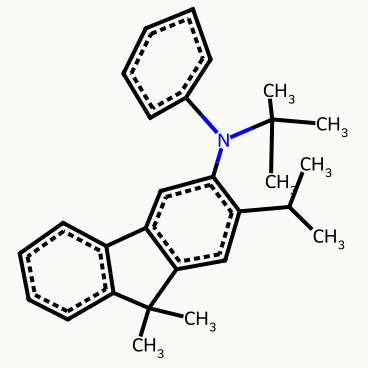 CC(C)c1cc2c(cc1N(c1ccccc1)C(C)(C)C)-c1ccccc1C2(C)C